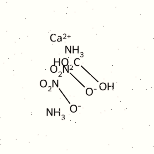 N.N.O=C(O)O.O=[N+]([O-])[O-].O=[N+]([O-])[O-].[Ca+2]